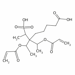 [CH2]C(C(CCCCC(=O)O)(C(C)OC(=O)C=C)C(C)OC(=O)C=C)S(=O)(=O)O